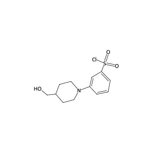 O=S(=O)(Cl)c1cccc(N2CCC(CO)CC2)c1